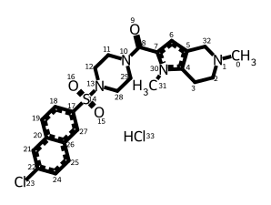 CN1CCc2c(cc(C(=O)N3CCN(S(=O)(=O)c4ccc5cc(Cl)ccc5c4)CC3)n2C)C1.Cl